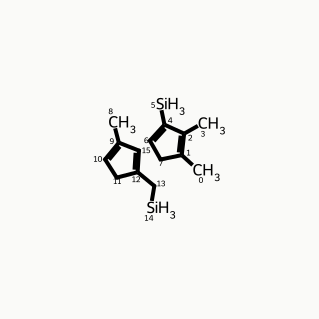 CC1=C(C)C([SiH3])=CC1.CC1=CCC(C[SiH3])=C1